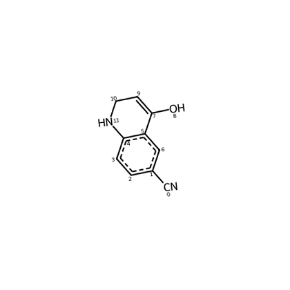 N#Cc1ccc2c(c1)C(O)=CCN2